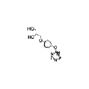 OCC(O)COc1ccc(O[PH]2=NP=NP=N2)cc1